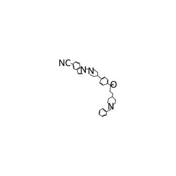 N#Cc1ccc2c(ccn2CN2CCC(c3ccc(C(=O)CCC4CCN(Cc5ccccc5)CC4)cc3)CC2)c1